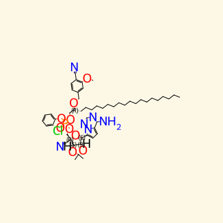 CCCCCCCCCCCCCCCCCCC[C@H](COP(=O)(OC[C@@]1(C#N)O[C@@H](c2ccc3c(N)ncnn23)[C@@H]2OC(C)(C)O[C@@H]21)Oc1ccccc1Cl)OCc1ccc(C#N)c(OC)c1